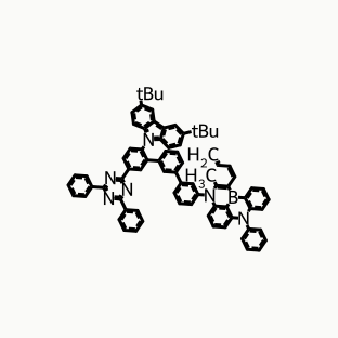 C=C/C=C\C1=C(C)N(c2cccc(-c3cccc(-c4cc(-c5nc(-c6ccccc6)nc(-c6ccccc6)n5)ccc4-n4c5ccc(C(C)(C)C)cc5c5cc(C(C)(C)C)ccc54)c3)c2)c2cccc3c2B1c1ccccc1N3c1ccccc1